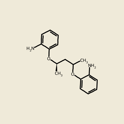 CC(C[C@@H](C)Oc1ccccc1N)Oc1ccccc1N